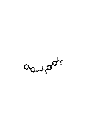 CC(=O)Nc1ccc(-c2ccc(C(=O)NCCCN3CCC(N4CCCCC4)CC3)cc2)cc1